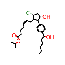 CCCCCC(O)c1ccc(C2C(C/C=C\CCCC(=O)OC(C)C)[C@H](Cl)C[C@H]2O)cc1